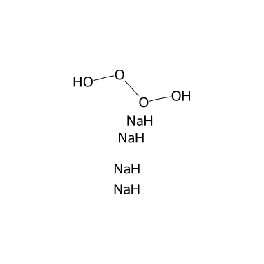 OOOO.[NaH].[NaH].[NaH].[NaH]